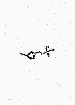 O=P(O)(O)OCn1c[c]([Na])cn1